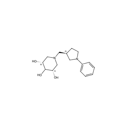 OC1[C@H](O)CN(C[C@H]2CCN(c3ccccc3)C2)C[C@@H]1O